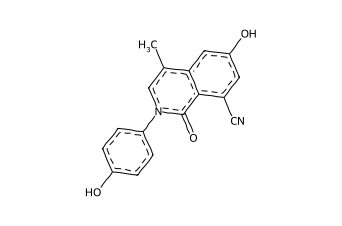 Cc1cn(-c2ccc(O)cc2)c(=O)c2c(C#N)cc(O)cc12